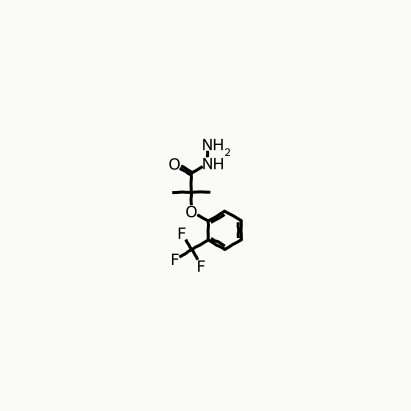 CC(C)(Oc1ccccc1C(F)(F)F)C(=O)NN